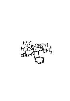 CC(C)(C)N1c2ccccc2C([Si](C)(C)C)P1[Si](C)(C)C